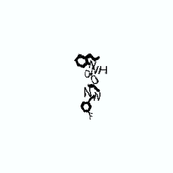 Cc1cc2ccccc2n1NC(=O)Oc1cnc(-c2cccc(F)c2)nc1